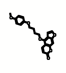 COc1ccc(OCCCCOc2c3ccoc3cc3oc(=O)ccc23)cc1